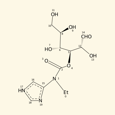 CCN(C(=O)O[C@@H]([C@H](O)[C@H](O)CO)[C@@H](O)C=O)c1c[nH]cn1